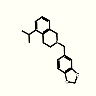 CC(C)c1cccc2c1CCN(Cc1ccc3c(c1)OCO3)C2